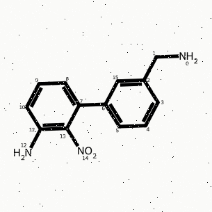 NCc1cccc(-c2cccc(N)c2[N+](=O)[O-])c1